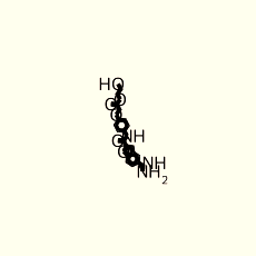 N=C(N)c1ccc2oc(C(=O)NC3CCC(OCC(=O)OCCO)CC3)cc2c1